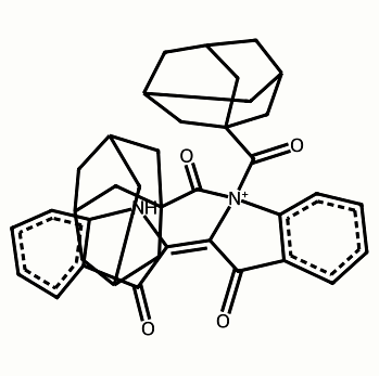 O=C1C(=C2C(=O)c3ccccc3[N+]2(C(=O)C23CC4CC(CC(C4)C2)C3)C(=O)C23CC4CC(CC(C4)C2)C3)Nc2ccccc21